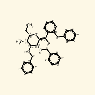 CC[C@H]1OC(=C(F)c2ccccc2Cc2ccccc2)[C@H](OCc2ccccc2)[C@@H](OCc2ccccc2)[C@@H]1C